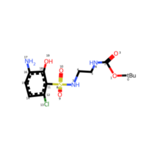 CC(C)(C)OC(=O)NCCNS(=O)(=O)c1c(Cl)ccc(N)c1O